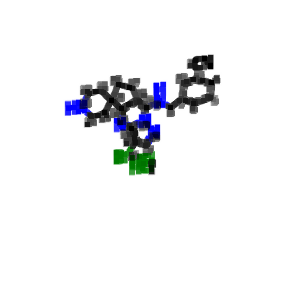 Cl.Cl.N#Cc1cccc(CNc2c3c(nc4c(Br)cnn24)C2(CCNCC2)CC3)c1